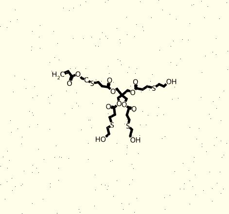 C=CC(=O)OCCSCCC(=O)OCC(COC(=O)CCSCCO)(COC(=O)CCSCCO)COC(=O)CCSCCO